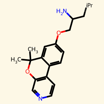 CC(C)CC(N)COc1ccc2c(c1)C(C)(C)Oc1cnccc1-2